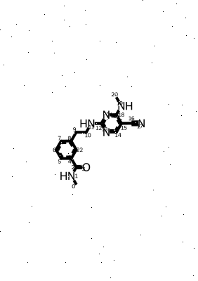 CNC(=O)c1cccc(CCNc2ncc(C#N)c(NC)n2)c1